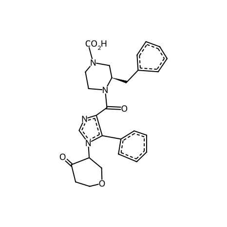 O=C1CCOCC1n1cnc(C(=O)N2CCN(C(=O)O)C[C@H]2Cc2ccccc2)c1-c1ccccc1